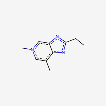 CCc1nc2cn(C)cc(C)c-2n1